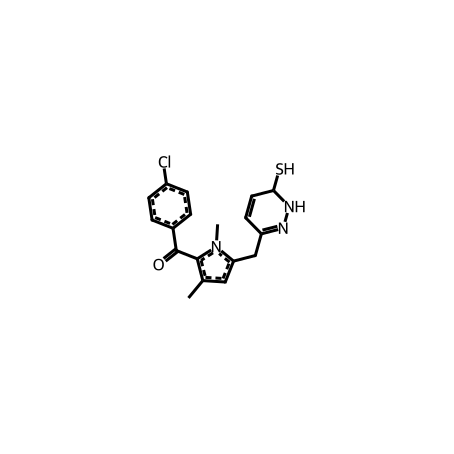 Cc1cc(CC2=NNC(S)C=C2)n(C)c1C(=O)c1ccc(Cl)cc1